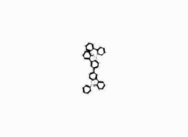 C1=CCC(n2c3ccccc3c3cc(-c4ccc5c(c4)c4ccccc4n5-c4ccccc4)ccc32)C(c2ccccc2)=C1